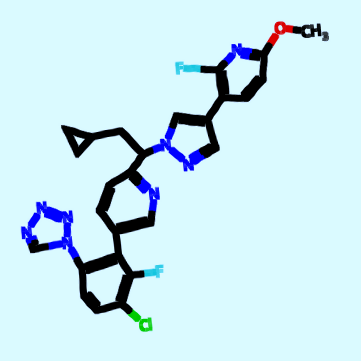 COc1ccc(-c2cnn(C(CC3CC3)c3ccc(-c4c(-n5cnnn5)ccc(Cl)c4F)cn3)c2)c(F)n1